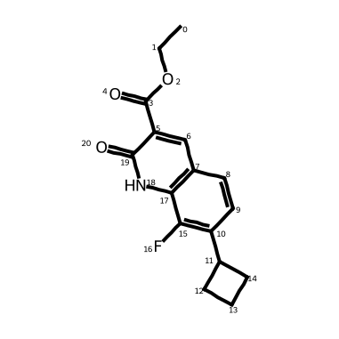 CCOC(=O)c1cc2ccc(C3CCC3)c(F)c2[nH]c1=O